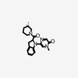 C[C@H]1CCCN(C(=O)C2Cc3ccccc3N2c2cn(C)c(=O)cn2)C1